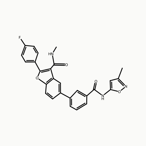 CNC(=O)c1c(-c2ccc(F)cc2)oc2ccc(-c3cccc(C(=O)Nc4cc(C)no4)c3)cc12